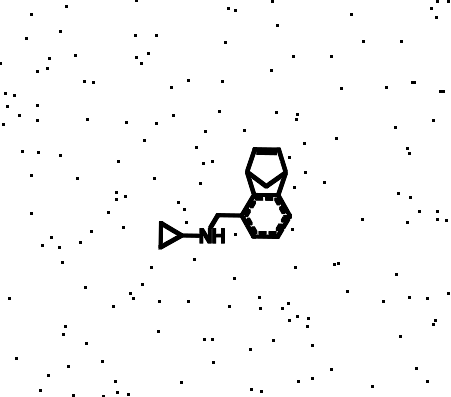 C1=CC2CC1c1cccc(CNC3CC3)c12